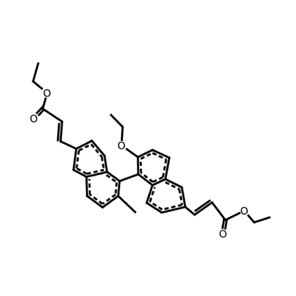 CCOC(=O)/C=C/c1ccc2c(-c3c(OCC)ccc4cc(/C=C/C(=O)OCC)ccc34)c(C)ccc2c1